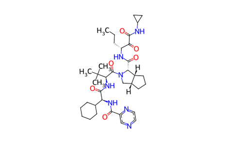 CCC[C@@H](NC(=O)[C@@H]1[C@@H]2CCC[C@@H]2CN1C(=O)[C@@H](NC(=O)[C@@H](NC(=O)c1cnccn1)C1CCCCC1)C(C)(C)C)C(=O)C(=O)NC1CC1